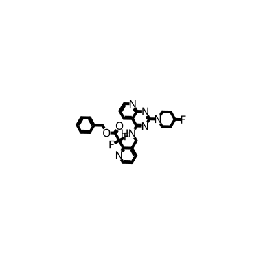 O=C(OCc1ccccc1)C(F)(F)c1ncccc1CNc1nc(N2CCC(F)CC2)nc2ncccc12